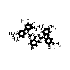 Cc1cc2c3cc(C)c(C)cc3n(C3=NC4=CC(F)=CC5=NC(n6c7cc(C)c(C)cc7c7cc(C)c(C)cc76)=NC(=N3)C45)c2cc1C